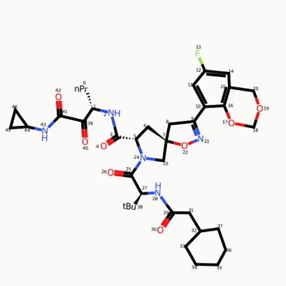 CCC[C@H](NC(=O)[C@@H]1C[C@]2(CC(c3cc(F)cc4c3OCOC4)=NO2)CN1C(=O)[C@@H](NC(=O)CC1CCCCC1)C(C)(C)C)C(=O)C(=O)NC1CC1